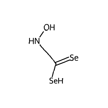 ONC(=[Se])[SeH]